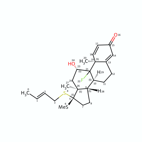 CC=CCS[C@@]1(SC)CC[C@H]2[C@@H]3CCC4=CC(=O)C=C[C@]4(C)C3(F)[C@@H](O)C[C@@]21C